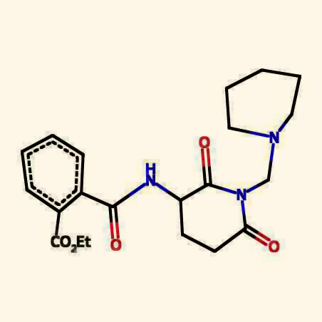 CCOC(=O)c1ccccc1C(=O)NC1CCC(=O)N(CN2CCCCC2)C1=O